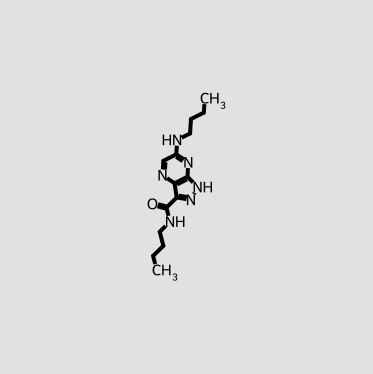 CCCCNC(=O)c1n[nH]c2nc(NCCCC)cnc12